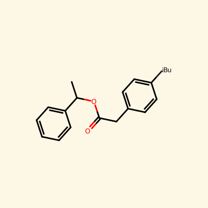 CCC(C)c1ccc(CC(=O)OC(C)c2ccccc2)cc1